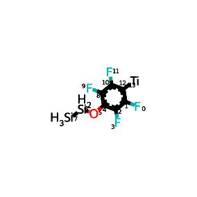 Fc1c(F)c(O[SiH2][SiH3])c(F)c(F)[c]1[Ti]